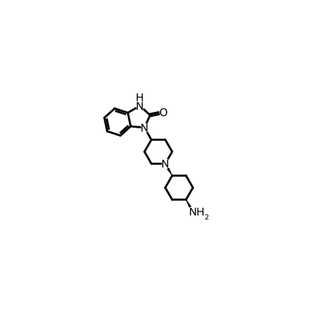 N[C@H]1CC[C@@H](N2CCC(n3c(=O)[nH]c4ccccc43)CC2)CC1